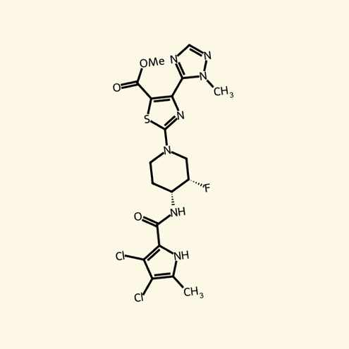 COC(=O)c1sc(N2CC[C@@H](NC(=O)c3[nH]c(C)c(Cl)c3Cl)[C@@H](F)C2)nc1-c1ncnn1C